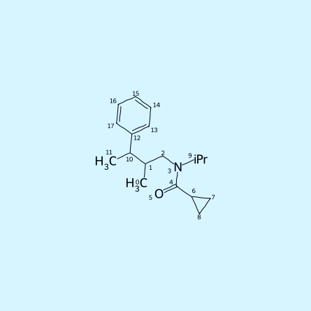 CC(CN(C(=O)C1CC1)C(C)C)C(C)c1ccccc1